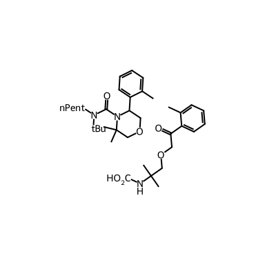 CCCCCN(C(=O)N1C(c2ccccc2C)COCC1(C)C)C(C)(C)C.Cc1ccccc1C(=O)COCC(C)(C)NC(=O)O